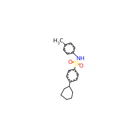 Cc1ccc(NS(=O)(=O)c2ccc(C3CCCCC3)cc2)cc1